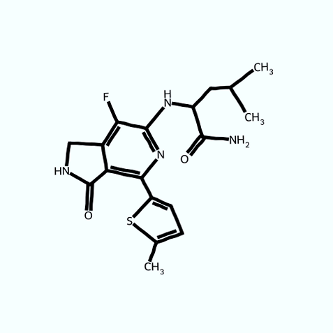 Cc1ccc(-c2nc(NC(CC(C)C)C(N)=O)c(F)c3c2C(=O)NC3)s1